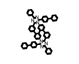 c1ccc(-c2ccc(-c3nc(-c4ccccc4)nc(-c4cccc(-c5ccccc5-c5ccccc5-c5cccc(-c6nc(-c7ccccc7)nc(-c7ccc(-c8ccccc8)cc7)n6)c5)c4)n3)cc2)cc1